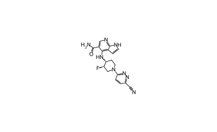 N#Cc1ccc(N2CC[C@H](Nc3c(C(N)=O)cnc4[nH]ccc34)[C@H](F)C2)nn1